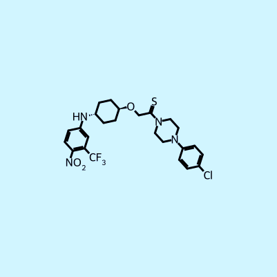 O=[N+]([O-])c1ccc(N[C@H]2CC[C@H](OCC(=S)N3CCN(c4ccc(Cl)cc4)CC3)CC2)cc1C(F)(F)F